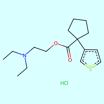 CCN(CC)CCOC(=O)C1(c2ccsc2)CCCC1.Cl